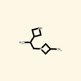 CC1CN(CC(C)C2CNC2)C1